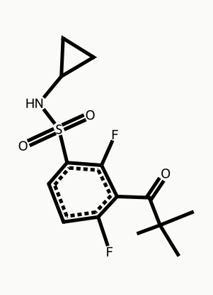 CC(C)(C)C(=O)c1c(F)ccc(S(=O)(=O)NC2CC2)c1F